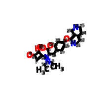 CCN(CC)N(c1cc(=O)c1=O)C(Cc1ccc(Oc2nccc3ccncc23)cc1)C(=O)O